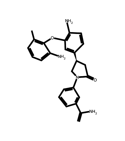 C=C(N)c1cccc(N2C[C@@H](c3ccc(N)c(Oc4c(C)cccc4N)c3)CC2=O)c1